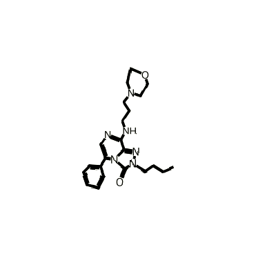 CCCCn1nc2c(NCCCN3CCOCC3)ncc(-c3ccccc3)n2c1=O